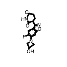 O=C1CCC(c2noc3cc(N4CC(O)C4)c(F)cc23)C(=O)N1